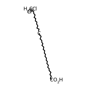 C[Si](Cl)(Cl)CCCCCCCCCCCCCCCCCCCCCCCCCCCCCCCCCCCCCCC(=O)O